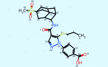 CCCSc1c(C(=O)NC2C3CC4CC2CC(S(C)(=O)=O)(C4)C3)cnn1-c1ccc(C(=O)O)cc1